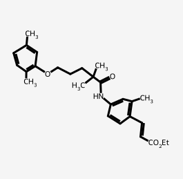 CCOC(=O)C=Cc1ccc(NC(=O)C(C)(C)CCCOc2cc(C)ccc2C)cc1C